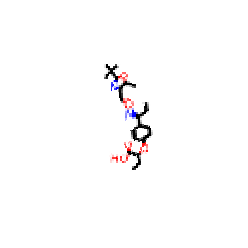 CCC(=NOCc1nc(C(C)(C)C)oc1C)c1ccc(OC(CC)C(=O)O)cc1